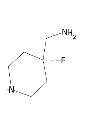 NCC1(F)CC[N]CC1